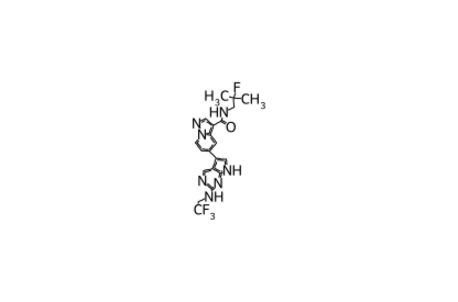 CC(C)(F)CNC(=O)c1cnn2ccc(-c3c[nH]c4nc(NCC(F)(F)F)ncc34)cc12